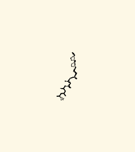 CCOCOCCCC(C)CC(C)CC(C)CC(C)CC(C)CC(C)Br